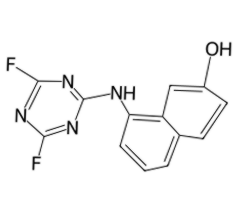 Oc1ccc2cccc(Nc3nc(F)nc(F)n3)c2c1